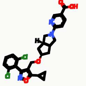 O=C(O)c1ccc(N2CC3C[C@H](OCc4c(-c5c(Cl)cccc5Cl)noc4C4CC4)C[C@H]3C2)nc1